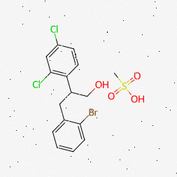 CS(=O)(=O)O.OCC(Cc1ccccc1Br)c1ccc(Cl)cc1Cl